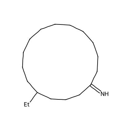 CCC1CCCCCCCCCCCC(=N)CCC1